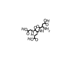 N[C@@H](CC(=O)O)C(=O)N[C@@H](CCC(=O)O)C(=O)NCC(=O)O